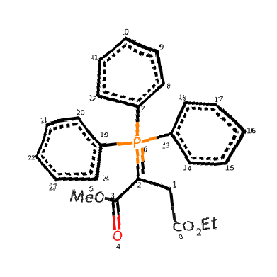 CCOC(=O)CC(C(=O)OC)=P(c1ccccc1)(c1ccccc1)c1ccccc1